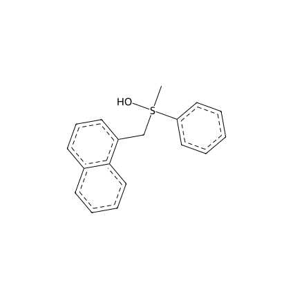 CS(O)(Cc1cccc2ccccc12)c1ccccc1